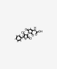 O=C(O)NC1=CC(=O)N(c2c(Cl)sc(-c3ccccc3)c2Cl)C1=O